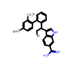 COc1ccc(-c2ccccc2C(CC(C)C)c2c[nH]c3cc(C(=N)N)ccc23)c(C(=O)O)c1